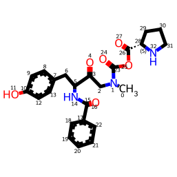 CN(CC(=O)C(Cc1ccc(O)cc1)NC(=O)c1ccccc1)C(=O)OC(=O)[C@@H]1CCCN1